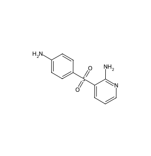 Nc1ccc(S(=O)(=O)c2cccnc2N)cc1